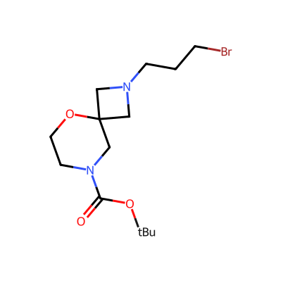 CC(C)(C)OC(=O)N1CCOC2(CN(CCCBr)C2)C1